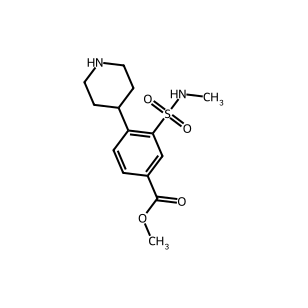 CNS(=O)(=O)c1cc(C(=O)OC)ccc1C1CCNCC1